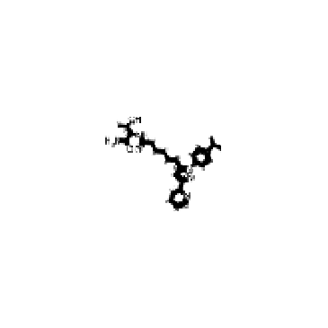 CC(C)c1ccc(-n2nc(-c3ccccn3)cc2CCCCCC(=O)NC(C(N)=O)C(C)O)cc1